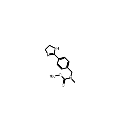 CN(Cc1ccc(C2=NCCN2)cc1)C(=O)OC(C)(C)C